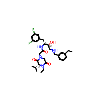 CCc1cccc(CNC[C@H](O)[C@H](Cc2cc(F)cc(F)c2)NC(=O)CN2CC(=O)N(CC)[C@H](C(C)C)C2=O)c1